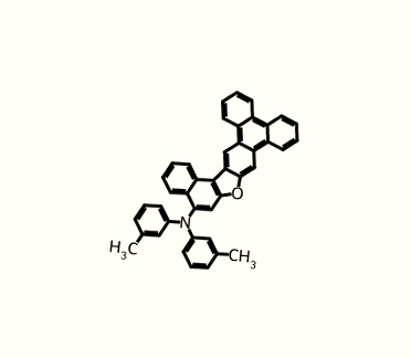 Cc1cccc(N(c2cccc(C)c2)c2cc3oc4cc5c6ccccc6c6ccccc6c5cc4c3c3ccccc23)c1